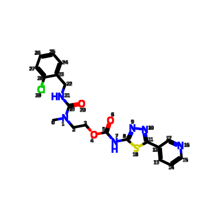 CN(CCOC(=O)Nc1nnc(-c2cccnc2)s1)C(=O)NCc1ccccc1Cl